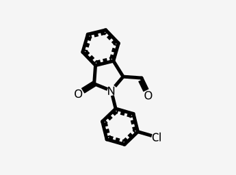 O=CC1c2ccccc2C(=O)N1c1cccc(Cl)c1